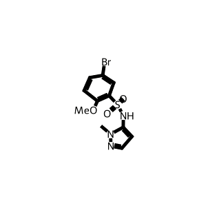 COc1ccc(Br)cc1S(=O)(=O)Nc1ccnn1C